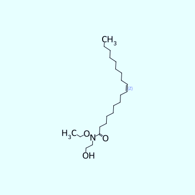 CCCCCCCC/C=C\CCCCCCCC(=O)N(CCO)OCC